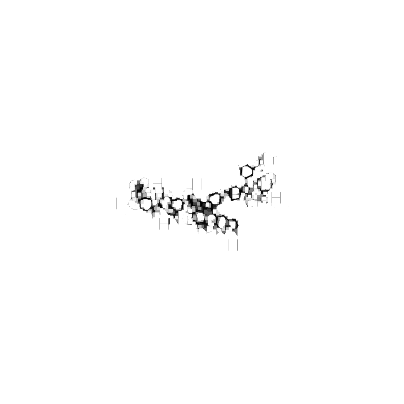 CC(C)Oc1ccccc1[C@@H]1COCCC(C)(C)N1[C@H]1CC2(CCN(c3ccc(C(=O)NS(=O)(=O)c4cc5c(c([N+](=O)[O-])c4)N[C@H](C4(F)CCC(C)(OP(=O)(O)O)CC4)CO5)c(N4c5cc6cc[nH]c6nc5O[C@H]5COCC[C@@H]54)c3)CC2)[C@@H]1C